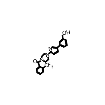 O=C(c1ccccc1C(F)(F)F)N1CCN(c2ccc(-c3cccc(CO)c3)cn2)CC1